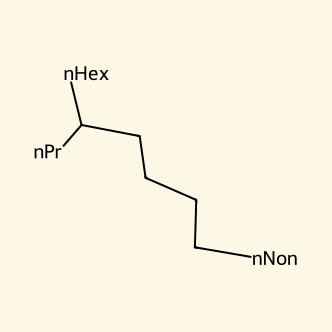 [CH2]CCCCCC(CCC)CCCCCCCCCCCCC